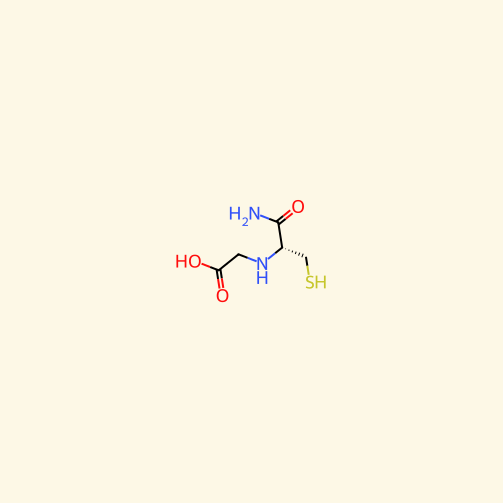 NC(=O)[C@H](CS)NCC(=O)O